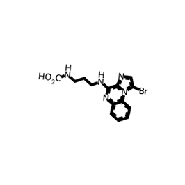 O=C(O)NCCCNc1nc2ccccc2n2c(Br)cnc12